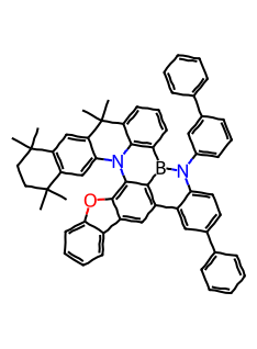 CC1(C)CCC(C)(C)c2cc3c(cc21)N1c2c(cccc2C3(C)C)B2c3c(cc4c(oc5ccccc54)c31)-c1cc(-c3ccccc3)ccc1N2c1cccc(-c2ccccc2)c1